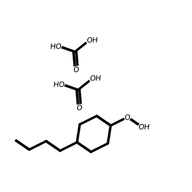 CCCCC1CCC(OO)CC1.O=C(O)O.O=C(O)O